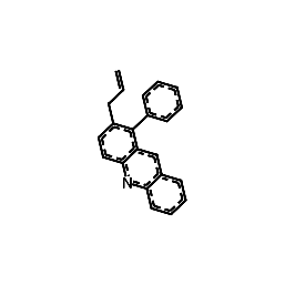 C=CCc1ccc2nc3ccccc3cc2c1-c1ccccc1